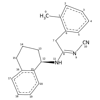 Cc1ccccc1C/C(=N\C#N)N[C@@H]1CCCc2ccccc21